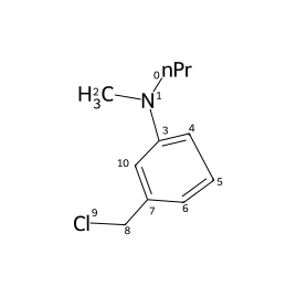 CCCN(C)c1cccc(CCl)c1